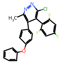 Cc1nnc(Cl)c(-c2c(F)cc(F)cc2F)c1-c1ccc(Oc2ccccc2)cc1